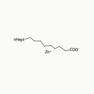 CCCCCCCCCCCCCCCC(=O)[O-].[Zn+]